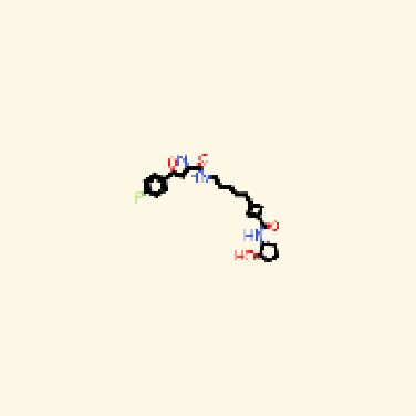 O=C(NCCCCCC1CC(C(=O)N[C@H]2CCC[C@H]2O)C1)c1cc(-c2ccc(F)cc2)on1